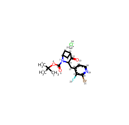 CC(C)(C)OC(=O)N1C2CC(C2)C(=O)C1Cc1ccnc(Br)c1F.[Cl-].[Li+]